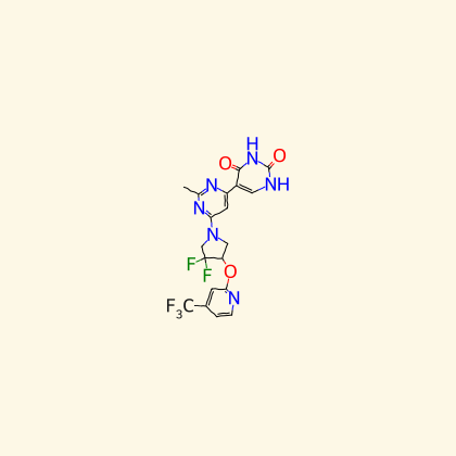 Cc1nc(-c2c[nH]c(=O)[nH]c2=O)cc(N2CC(Oc3cc(C(F)(F)F)ccn3)C(F)(F)C2)n1